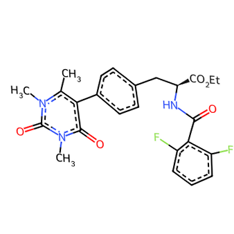 CCOC(=O)[C@H](Cc1ccc(-c2c(C)n(C)c(=O)n(C)c2=O)cc1)NC(=O)c1c(F)cccc1F